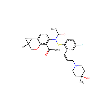 COC(=O)c1c(N(Sc2ccc(F)cc2/C=C\CN2CCC(C)(O)CC2)C(=O)OC)ccc2c1OC[C@@H]1CC21